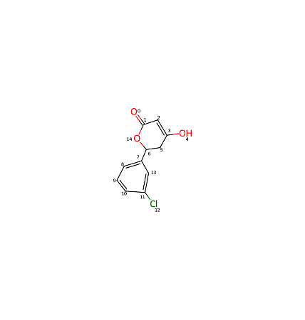 O=C1C=C(O)CC(c2cccc(Cl)c2)O1